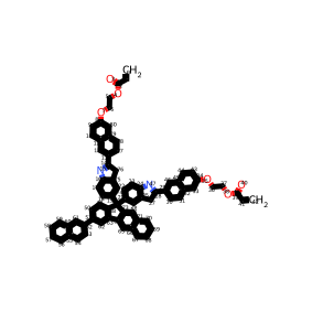 C=CC(=O)OCCOc1ccc2cc(C3=Nc4ccc(C5(c6ccc7c(c6)CC(c6ccc8cc(OCCOC(=O)C=C)ccc8c6)=N7)c6ccc(-c7ccc8ccccc8c7)cc6-c6cc7ccccc7cc65)cc4C3)ccc2c1